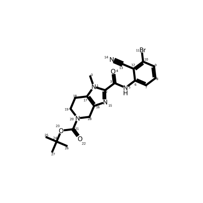 Cn1c(C(=O)Nc2cccc(Br)c2C#N)nc2c1CCN(C(=O)OC(C)(C)C)C2